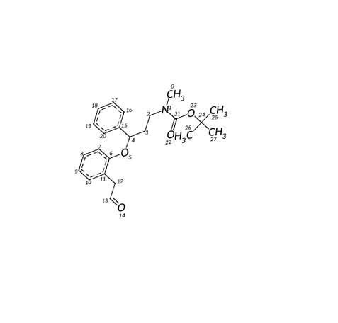 CN(CCC(Oc1ccccc1CC=O)c1ccccc1)C(=O)OC(C)(C)C